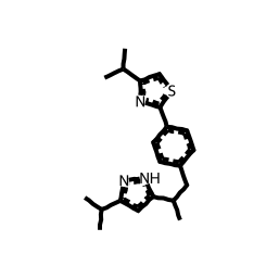 CC(C)c1cc(C(C)Cc2ccc(-c3nc(C(C)C)cs3)cc2)[nH]n1